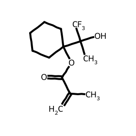 C=C(C)C(=O)OC1(C(C)(O)C(F)(F)F)CCCCC1